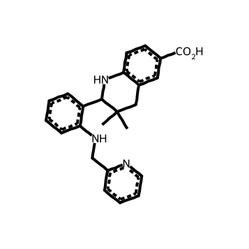 CC1(C)Cc2cc(C(=O)O)ccc2NC1c1ccccc1NCc1ccccn1